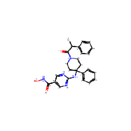 CC(C)C(C(=O)N1CCC(Nc2ncc(C(=O)NO)cn2)(c2ccccc2)CC1)c1ccccc1